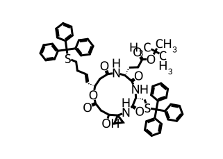 CC(C)(C)OC(=O)CC[C@H]1NC(=O)C[C@@H](/C=C/CCSC(c2ccccc2)(c2ccccc2)c2ccccc2)OC(=O)CC(O)C2(CC2)NC(=O)[C@@H](CSC(c2ccccc2)(c2ccccc2)c2ccccc2)NC1=O